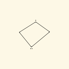 [C]1C[CH]C1